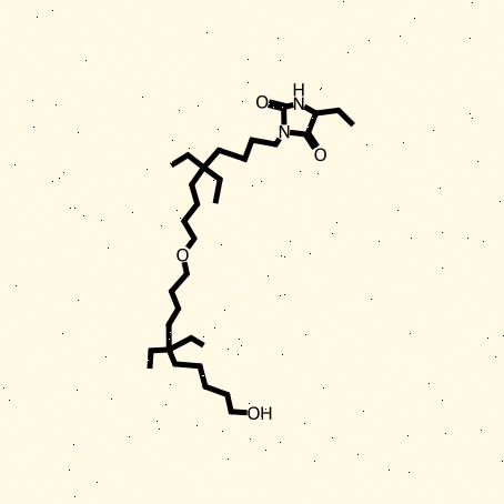 CCC1NC(=O)N(CCCCC(CC)(CC)CCCCOCCCCC(CC)(CC)CCCCCO)C1=O